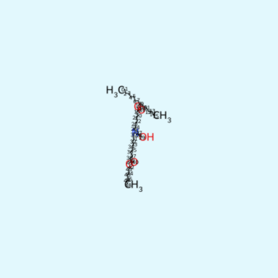 CCCCCCCCC(CCCCCCC)OC(=O)CCCCCCCN(CCO)CCCCCCCCCC(=O)OCCCCCCC